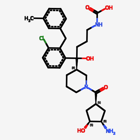 Cc1cccc(Cc2c(Cl)cccc2C(O)(CCCNC(=O)O)[C@@H]2CCCN(C(=O)[C@H]3C[C@@H](N)[C@@H](O)C3)C2)c1